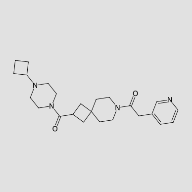 O=C(Cc1cccnc1)N1CCC2(CC1)CC(C(=O)N1CCN(C3CCC3)CC1)C2